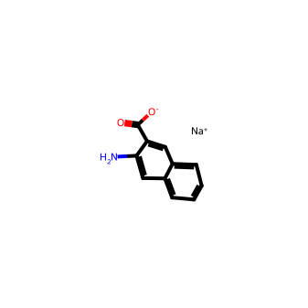 Nc1cc2ccccc2cc1C(=O)[O-].[Na+]